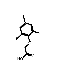 O=C(O)COc1c(I)cc(I)cc1I